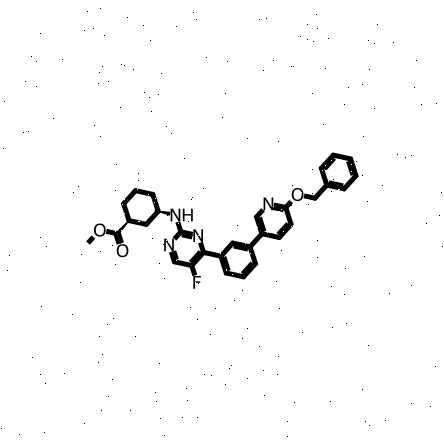 COC(=O)[C@H]1CCC[C@@H](Nc2ncc(F)c(-c3cccc(-c4ccc(OCc5ccccc5)nc4)c3)n2)C1